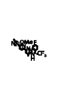 COc1nc(-c2cc(C)c(N[C@@H](CC(F)(F)F)c3ccc(F)cc3)nn2)ccc1-n1cnc(C)c1